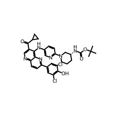 CC(C)(C)OC(=O)N[C@@H]1CCCN(c2ccc(Nc3c(C(=O)C4CC4)cnc4ccc(-c5cc(Cl)c(O)c(Cl)c5)nc34)cn2)C1